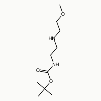 COCCNCCNC(=O)OC(C)(C)C